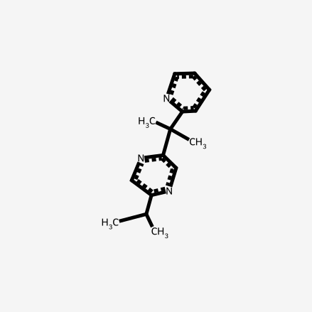 CC(C)c1cnc(C(C)(C)c2ccccn2)cn1